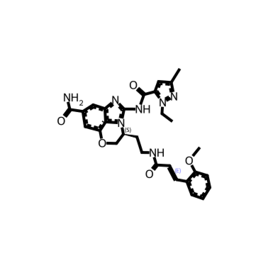 CCn1nc(C)cc1C(=O)Nc1nc2cc(C(N)=O)cc3c2n1[C@@H](CCNC(=O)/C=C/c1ccccc1OC)CO3